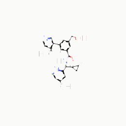 Cc1ccnc(C(NC(=O)c2cc(CO)cc(-c3cnccc3C)c2)C2CC2)c1